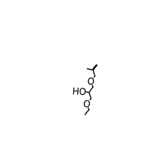 C=C(C)COCC(O)COCC